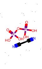 N#CC#N.O=P(O)(O)OP(=O)(O)O